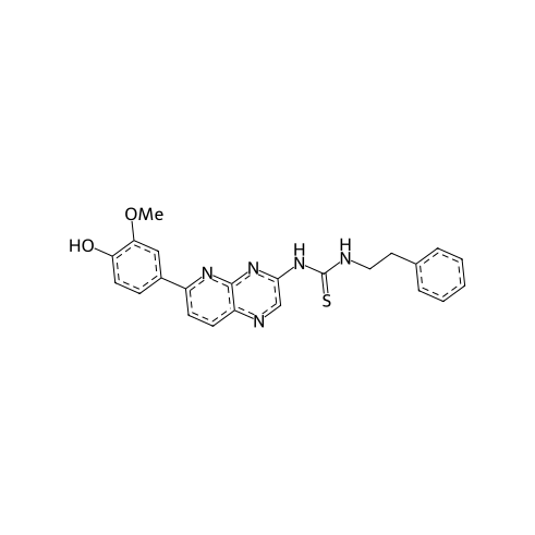 COc1cc(-c2ccc3ncc(NC(=S)NCCc4ccccc4)nc3n2)ccc1O